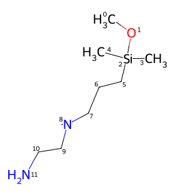 CO[Si](C)(C)CCC[N]CCN